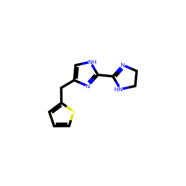 c1csc(Cc2c[nH]c(C3=NCCN3)n2)c1